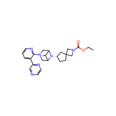 CCOC(=O)N1CC2(CC[C@H](N3C4CN(c5ncccc5-c5cnccn5)CC3C4C)C2)C1